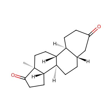 C[C@]12CC[C@H]3[C@@H](CC[C@H]4CC(=O)CC[C@@H]43)[C@@H]1CCC2=O